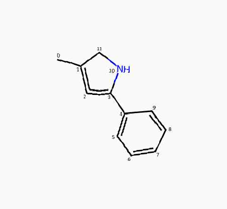 CC1=C=C(c2ccccc2)NC1